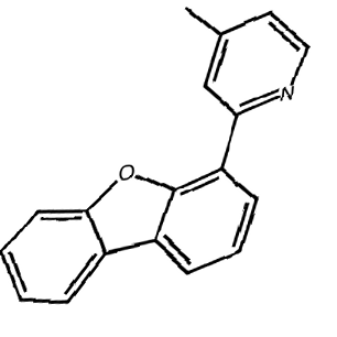 Cc1ccnc(-c2cccc3c2oc2ccccc23)c1